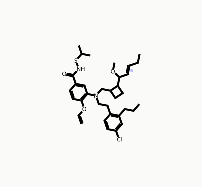 C=COc1ccc(C(=O)NSC(C)C)cc1N(CCc1ccc(Cl)cc1CCC)CC1CCC1C(/C=C/CC)OC